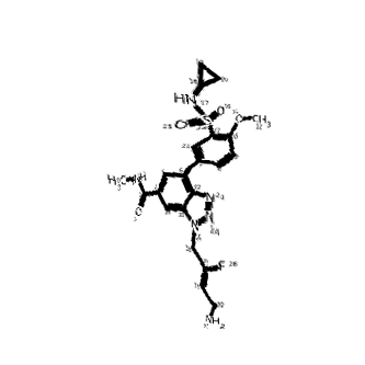 CNC(=O)c1cc(-c2ccc(OC)c(S(=O)(=O)NC3CC3)c2)c2nnn(C/C(F)=C/CN)c2c1